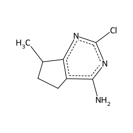 CC1CCc2c(N)nc(Cl)nc21